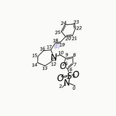 CN(C)S(=O)(=O)c1ccc(CN2CCCCCC2/C=C/c2ccccc2)o1